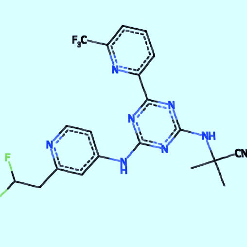 CC(C)(C#N)Nc1nc(Nc2ccnc(CC(F)F)c2)nc(-c2cccc(C(F)(F)F)n2)n1